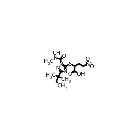 CCC(C)(C)c1nc(SC(CC[N+](=O)[O-])C(=O)O)n(C(=O)N(C)C)n1